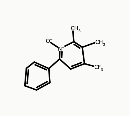 Cc1c(C(F)(F)F)cc(-c2ccccc2)[n+]([O-])c1C